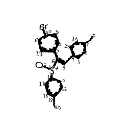 Cc1ccc(/C=C(\c2ccc(Br)cc2)[S+]([O-])c2ccc(C)cc2)cc1